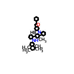 Cc1cc(-c2ccccc2Nc2ccc3c(c2)C(C)(C)CCC3(C)C)c2c3c1c1ccccc1n3-c1cc3oc(-c4ccccc4)cc3cc1B2